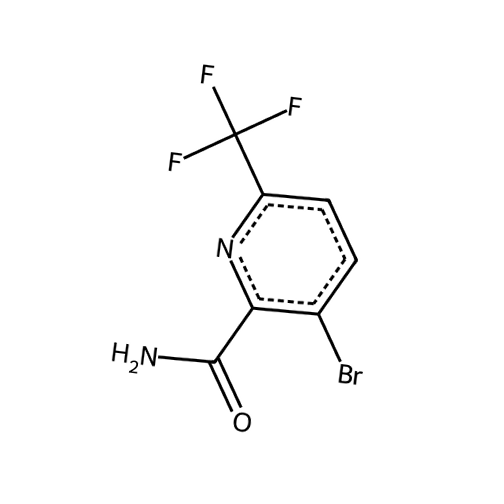 NC(=O)c1nc(C(F)(F)F)ccc1Br